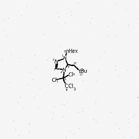 CCCCCCN1N=CN(C(Cl)(Cl)C(Cl)(Cl)Cl)C1CC(C)(C)C